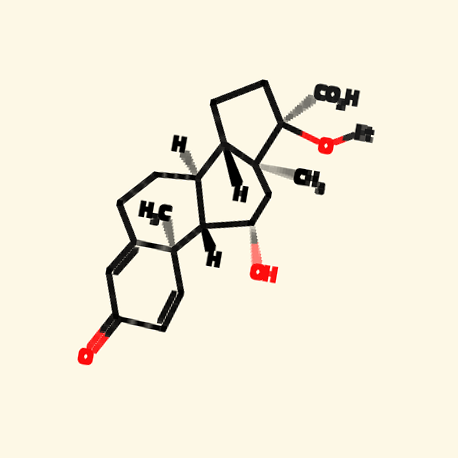 CCO[C@]1(C(=O)O)CC[C@H]2[C@@H]3CCC4=CC(=O)C=C[C@]4(C)[C@H]3[C@@H](O)C[C@@]21C